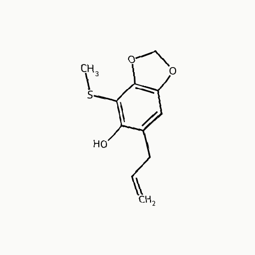 C=CCc1cc2c(c(SC)c1O)OCO2